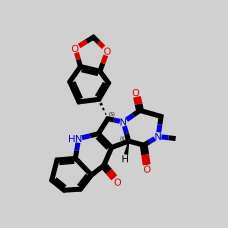 CN1CC(=O)N2[C@@H](c3ccc4c(c3)OCO4)c3[nH]c4ccccc4c(=O)c3[C@H]2C1=O